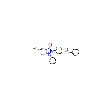 O=c1c2cc(Br)ccc2n(-c2ccccc2)n1-c1ccc(OCc2ccccc2)cc1